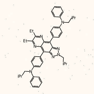 CCc1nc2c(-c3ccc(N(CC(C)C)c4ccccc4)cc3)c3nn(CC(C)C)nc3c(-c3ccc(N(CC(C)C)c4ccccc4)cc3)c2nc1CC